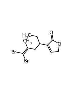 CCC(CC(C)=C(Br)Br)C1=CCOC1=O